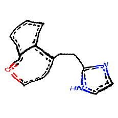 c1cc2occc(Cc3ncc[nH]3)c-2c1